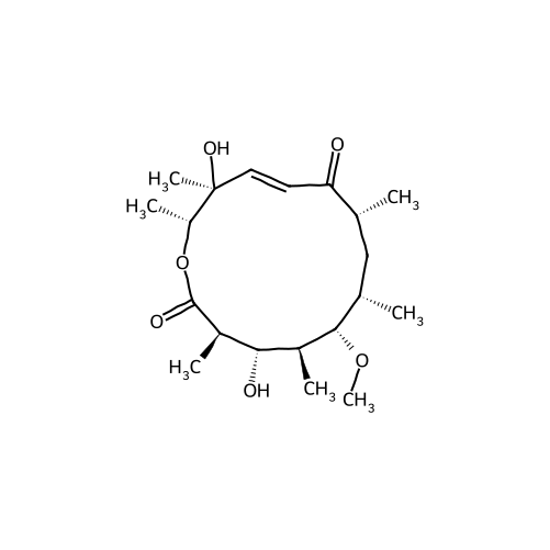 CO[C@@H]1[C@@H](C)[C@H](O)[C@@H](C)C(=O)O[C@H](C)[C@@](C)(O)/C=C/C(=O)[C@H](C)C[C@@H]1C